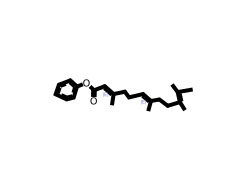 CC(C)=C(C)CC/C(C)=C/CC/C(C)=C/C(=O)Oc1ccccc1